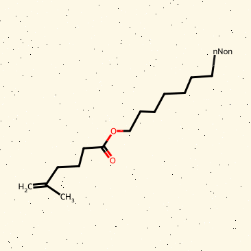 C=C(C)CCCC(=O)OCCCCCCCCCCCCCCCC